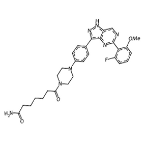 COc1cccc(F)c1-c1ncc2[nH]nc(-c3ccc(N4CCN(C(=O)CCCCCC(N)=O)CC4)cc3)c2n1